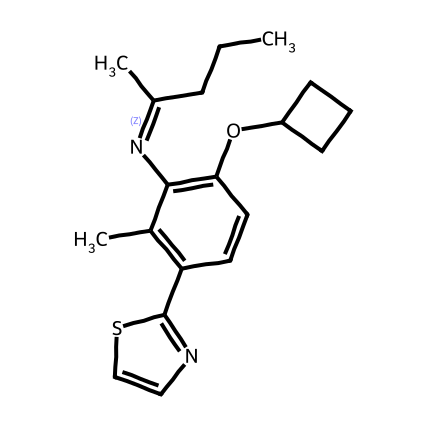 CCC/C(C)=N\c1c(OC2CCC2)ccc(-c2nccs2)c1C